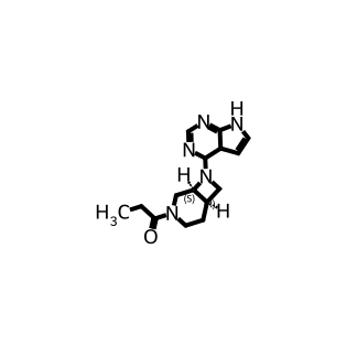 CCC(=O)N1CC[C@@H]2CN(C3N=CN=C4NC=CC43)[C@@H]2C1